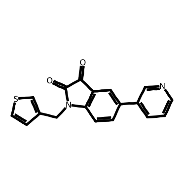 O=C1C(=O)N(Cc2ccsc2)c2ccc(-c3cccnc3)cc21